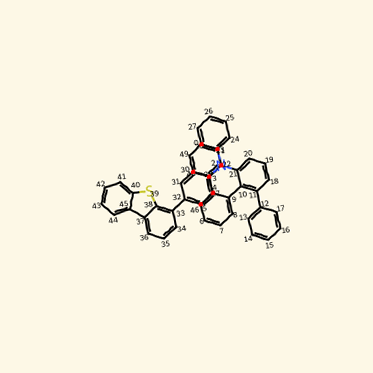 c1ccc(-c2ccccc2-c2c(-c3ccccc3)cccc2N(c2ccccc2)c2ccc(-c3cccc4c3sc3ccccc34)cc2)cc1